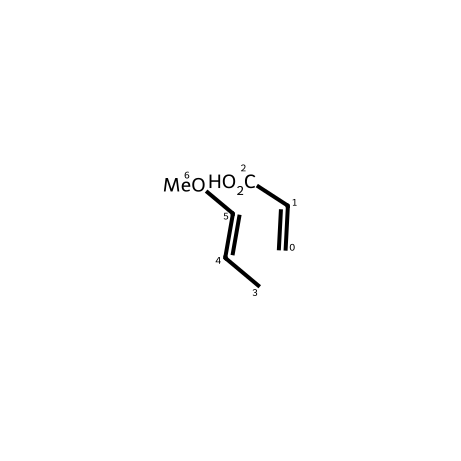 C=CC(=O)O.CC=COC